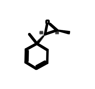 C[C@@H]1O[C@H]1C1(C)C=CC=CC1